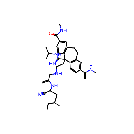 C=C(CNCCC1(C(=N)NC(C)C)c2ccc(C(=C)NC)cc2CCc2cc(C(=O)NC)ccc21)NC(C#N)C[C@@H](C)CC